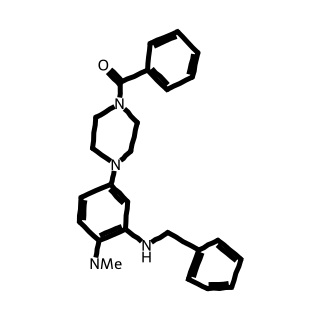 CNc1ccc(N2CCN(C(=O)c3ccccc3)CC2)cc1NCc1ccccc1